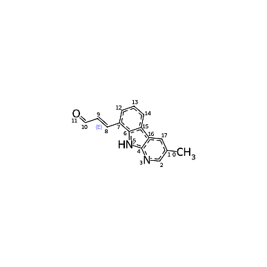 Cc1cnc2[nH]c3c(/C=C/C=O)cccc3c2c1